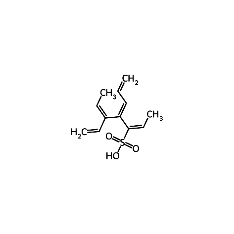 C=C/C=C(C(\C=C)=C/C)/C(=C\C)S(=O)(=O)O